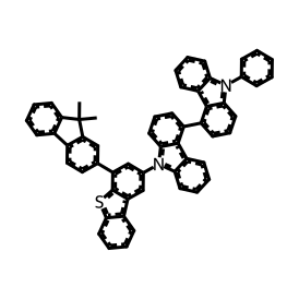 CC1(C)c2ccccc2-c2ccc(-c3cc(-n4c5ccccc5c5c(-c6cccc7c6c6ccccc6n7-c6ccccc6)cccc54)cc4c3sc3ccccc34)cc21